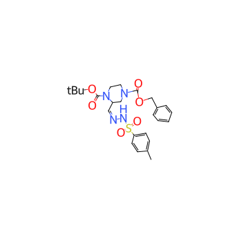 Cc1ccc(S(=O)(=O)N/N=C\C2CN(C(=O)OCc3ccccc3)CCN2C(=O)OC(C)(C)C)cc1